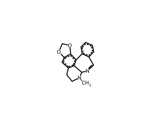 CN1CCc2cc3c(c4c2C1N=Cc1ccccc1-4)OCO3